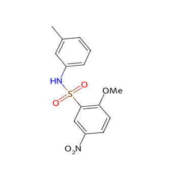 COc1ccc([N+](=O)[O-])cc1S(=O)(=O)Nc1cccc(C)c1